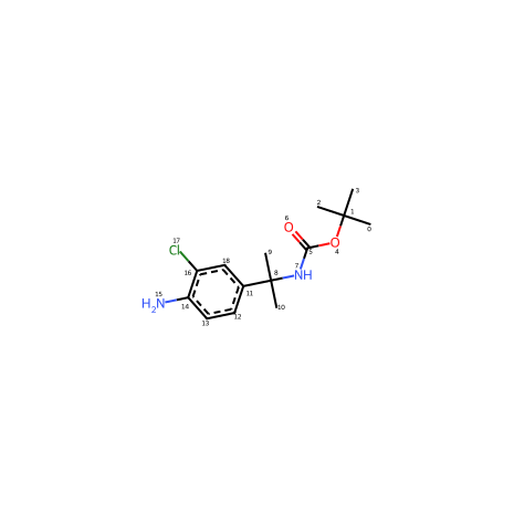 CC(C)(C)OC(=O)NC(C)(C)c1ccc(N)c(Cl)c1